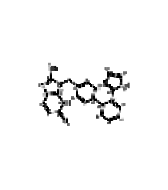 CCCCc1nc2ccc(=O)[nH]c2n1Cc1ccc(-c2ccccc2-c2nnn[nH]2)cc1